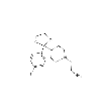 NCCN1CCC(C2(c3ccc(F)cc3)OCCO2)CC1